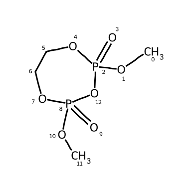 COP1(=O)OCCOP(=O)(OC)O1